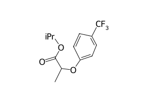 CC(C)OC(=O)C(C)Oc1ccc(C(F)(F)F)cc1